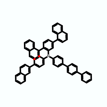 c1ccc(-c2ccc(-c3ccc(N(c4ccc(-c5ccc6ccccc6c5)cc4)c4cc(-c5cccc6ccccc56)ccc4-c4cccc5ccccc45)cc3)cc2)cc1